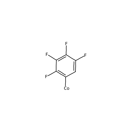 Fc1c[c]([Co])c(F)c(F)c1F